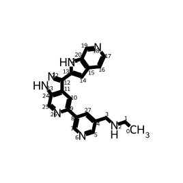 CCNCc1cncc(-c2cc3c(-c4cc5ccncc5[nH]4)n[nH]c3cn2)c1